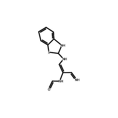 N=C/C(=C\NC1Nc2ccccc2S1)NC=O